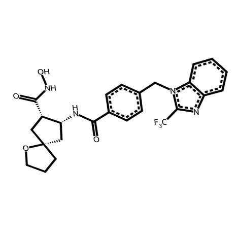 O=C(N[C@@H]1C[C@@]2(CCCO2)C[C@@H]1C(=O)NO)c1ccc(Cn2c(C(F)(F)F)nc3ccccc32)cc1